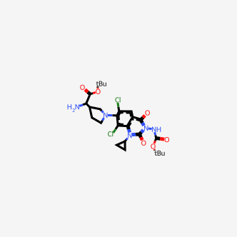 CC(C)(C)OC(=O)Nn1c(=O)c2cc(Cl)c(N3CCC(C(N)C(=O)OC(C)(C)C)C3)c(Cl)c2n(C2CC2)c1=O